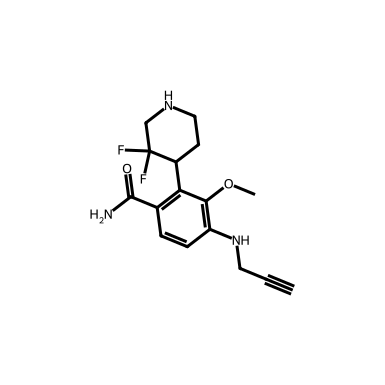 C#CCNc1ccc(C(N)=O)c(C2CCNCC2(F)F)c1OC